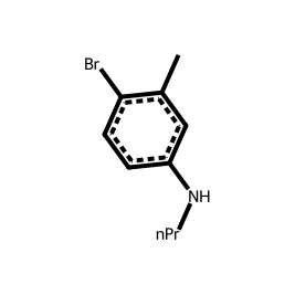 CCCNc1ccc(Br)c(C)c1